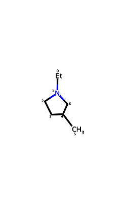 [CH2]CN1CCC(C)C1